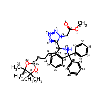 COC(=O)Cn1nnnc1C(CCCCB1OC(C)(C)C(C)(C)O1)NC(c1ccccc1)(c1ccccc1)c1ccccc1